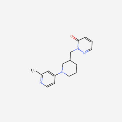 Cc1cc(N2CCCC(Cn3ncccc3=O)C2)ccn1